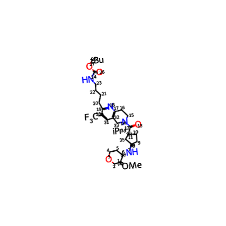 CO[C@@H]1COCC[C@@H]1N[C@@H]1CC[C@@](C(=O)N2CCc3nc(CCCCNC(=O)OC(C)(C)C)c(C(F)(F)F)cc3C2)(C(C)C)C1